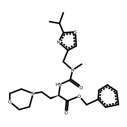 CC(C)c1nc(CN(C)C(=O)N[C@H](CCN2CCOCC2)C(=O)OCc2ccccc2)cs1